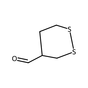 O=CC1CCSSC1